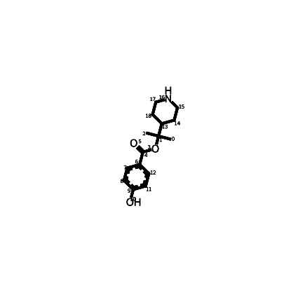 CC(C)(OC(=O)c1ccc(O)cc1)C1CCNCC1